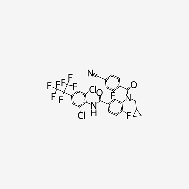 N#Cc1ccc(C(=O)N(CC2CC2)c2cc(C(=O)Nc3c(Cl)cc(C(F)(C(F)(F)F)C(F)(F)F)cc3Cl)ccc2F)c(F)c1